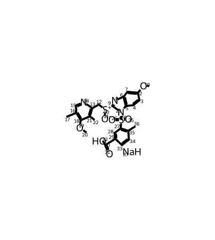 COc1ccc2c(c1)nc([S+]([O-])Cc1ncc(C)c(OC)c1C)n2S(=O)(=O)c1cc(C(=O)O)ccc1C.[NaH]